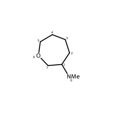 CNC1CCCCOC1